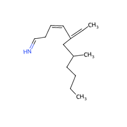 C/C=C(\C=C/CC=N)CC(C)CCCC